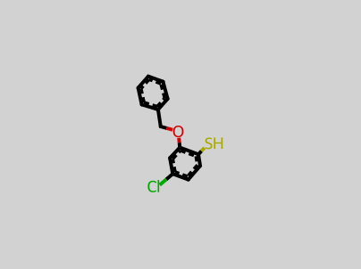 Sc1ccc(Cl)cc1OCc1ccccc1